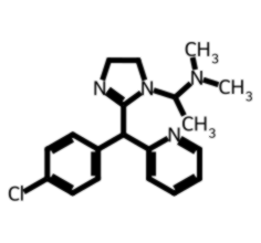 CC(N(C)C)N1CCN=C1C(c1ccc(Cl)cc1)c1ccccn1